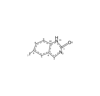 O=c1ncc2cc(I)ccc2[nH]1